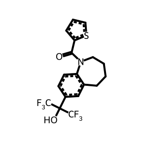 O=C(c1cccs1)N1CCCCc2cc(C(O)(C(F)(F)F)C(F)(F)F)ccc21